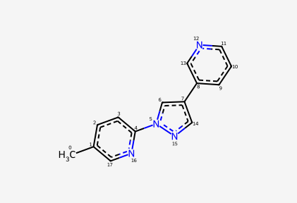 Cc1ccc(-n2cc(-c3cccnc3)cn2)nc1